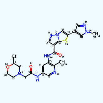 CCC1CN(CC(=O)Nc2cnc(C)c(NC(=O)c3cnn4cc(-c5cnn(C)c5)sc34)c2)CCO1